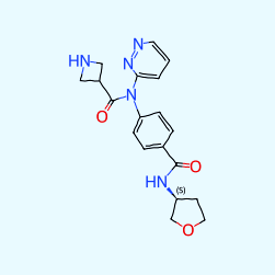 O=C(N[C@H]1CCOC1)c1ccc(N(C(=O)C2CNC2)c2cccnn2)cc1